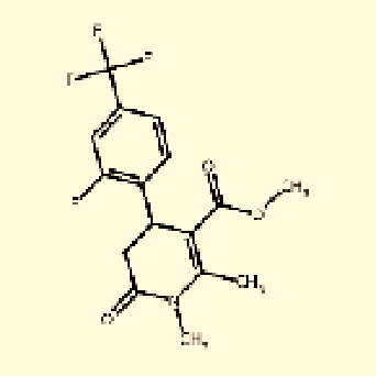 COC(=O)C1=C(C)N(C)C(=O)CC1c1ccc(C(F)(F)F)cc1F